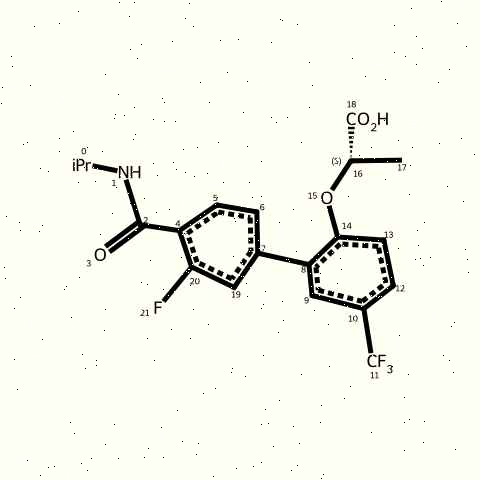 CC(C)NC(=O)c1ccc(-c2cc(C(F)(F)F)ccc2O[C@@H](C)C(=O)O)cc1F